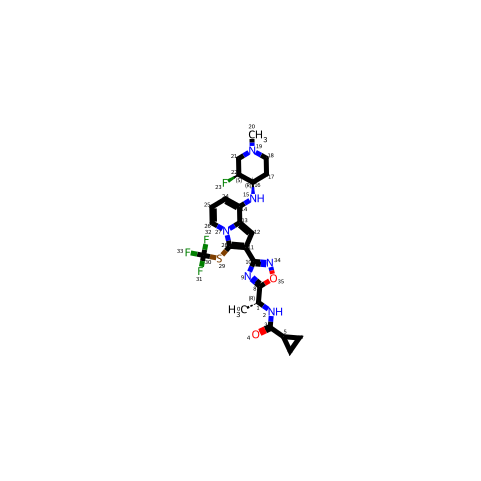 C[C@@H](NC(=O)C1CC1)c1nc(-c2cc3c(N[C@@H]4CCN(C)C[C@@H]4F)cccn3c2SC(F)(F)F)no1